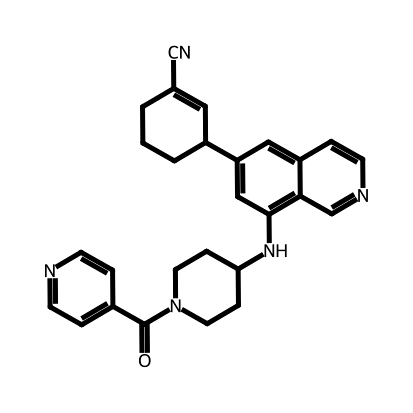 N#CC1=CC(c2cc(NC3CCN(C(=O)c4ccncc4)CC3)c3cnccc3c2)CCC1